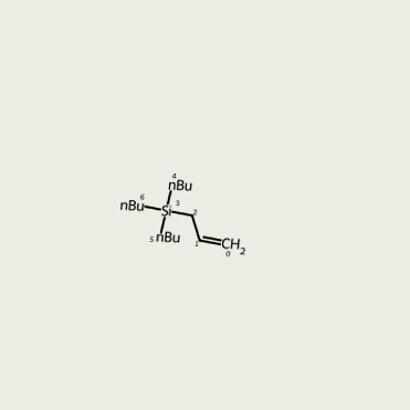 C=CC[Si](CCCC)(CCCC)CCCC